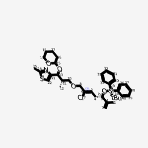 C=C(C)[C@H](C/C=C(\Cl)COC[C@H](C)C(OC1CCCCO1)c1csc(C)n1)O[Si](c1ccccc1)(c1ccccc1)C(C)(C)C